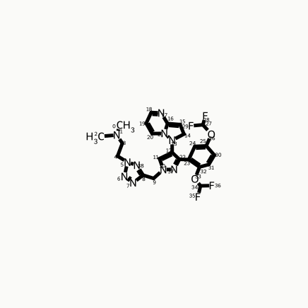 CN(C)CCn1nnc(Cn2cc(N3CC=C4N=CC=CN43)c(-c3cc(OC(F)F)ccc3OC(F)F)n2)n1